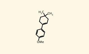 COc1ccc(C2=CCC(C)(C)CC2)cc1